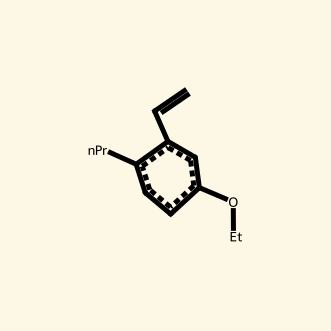 C=Cc1cc(OCC)ccc1CCC